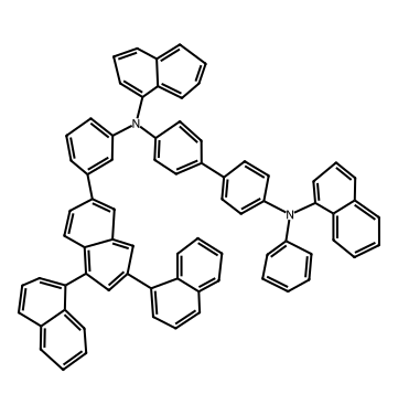 c1ccc(N(c2ccc(-c3ccc(N(c4cccc(-c5ccc6c(-c7cccc8ccccc78)cc(-c7cccc8ccccc78)cc6c5)c4)c4cccc5ccccc45)cc3)cc2)c2cccc3ccccc23)cc1